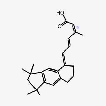 C/C(C=CC=C1CCCc2cc3c(cc21)C(C)(C)CC3(C)C)=C/C(=O)O